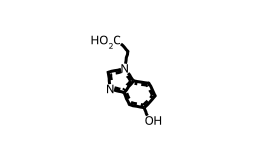 O=C(O)Cn1cnc2cc(O)ccc21